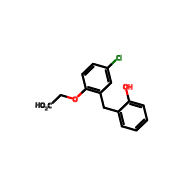 O=C(O)COc1ccc(Cl)cc1Cc1ccccc1O